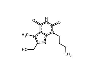 CCCCn1c(=O)[nH]c(=O)c2c1nc(CO)n2C